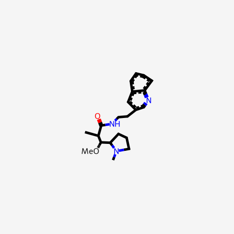 COC(C(C)C(=O)NCCc1cnc2ccccc2c1)C1CCCN1C